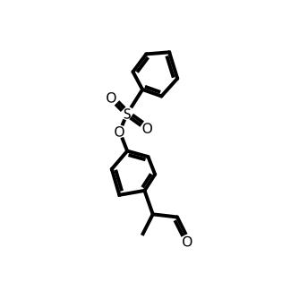 CC(C=O)c1ccc(OS(=O)(=O)c2ccccc2)cc1